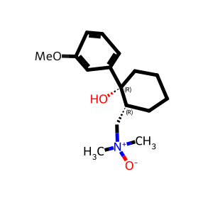 COc1cccc([C@@]2(O)CCCC[C@@H]2C[N+](C)(C)[O-])c1